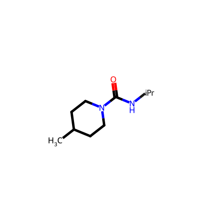 CC1CCN(C(=O)NC(C)C)CC1